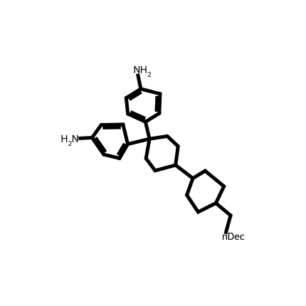 CCCCCCCCCCCC1CCC(C2CCC(c3ccc(N)cc3)(c3ccc(N)cc3)CC2)CC1